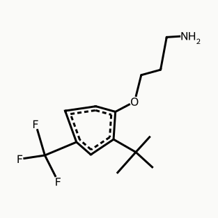 CC(C)(C)c1cc(C(F)(F)F)ccc1OCCCN